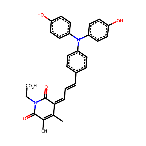 CC1=C(C#N)C(=O)N(CC(=O)O)C(=O)/C1=C\C=C\c1ccc(N(c2ccc(O)cc2)c2ccc(O)cc2)cc1